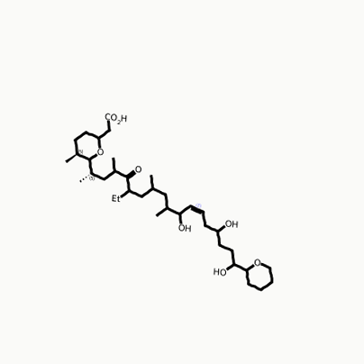 CCC(CC(C)CC(C)C(O)/C=C\CC(O)CCC(O)C1CCCCO1)C(=O)C(C)C[C@H](C)C1OC(CC(=O)O)CC[C@@H]1C